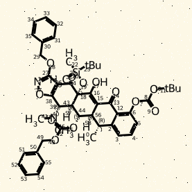 C[C@H]1c2cccc(OC(=O)OC(C)(C)C)c2C(=O)C2=C(O)[C@]3(O[Si](C)(C)C(C)(C)C)C(=O)c4c(OCc5ccccc5)noc4[C@@H](N(C)C)[C@@H]3[C@@H](OC(=O)OCc3ccccc3)[C@@H]21